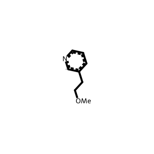 COCCc1[c]nccc1